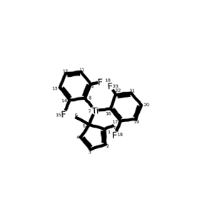 CC1=CC=C[C]1(C)[Ti]([c]1c(F)cccc1F)[c]1c(F)cccc1F